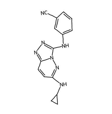 N#Cc1cccc(Nc2nnc3ccc(NC4CC4)nn23)c1